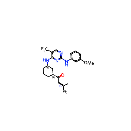 CC/C(C)=C/C(=O)[C@H]1CCC[C@@H](Nc2nc(Nc3cccc(OC)c3)ncc2C(F)(F)F)C1